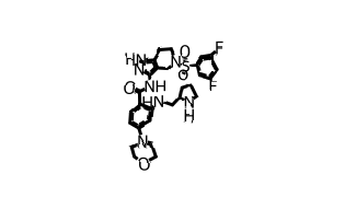 O=C(Nc1n[nH]c2c1CN(S(=O)(=O)c1cc(F)cc(F)c1)CC2)c1ccc(N2CCOCC2)cc1NCC1CCCN1